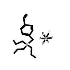 C=Cc1ccc(C[N+](CCC)(CCC)CCC)cc1.F[P-](F)(F)(F)(F)F